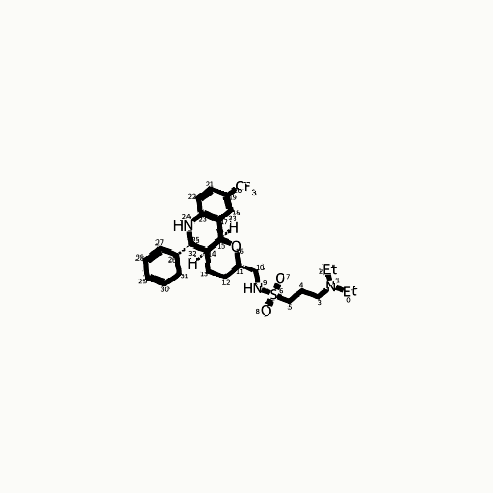 CCN(CC)CCCS(=O)(=O)NC[C@H]1CC[C@@H]2[C@H](O1)c1cc(C(F)(F)F)ccc1N[C@H]2C1C=CC=CC1